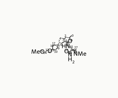 C=C/C=C(C)\C(=C/Cc1ccc(OCCOC)cc1)C(=O)NC/C(C(N)=O)=C(\C)NC